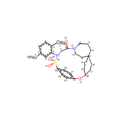 CCCCCCc1ccc(OC)c(N2CC(=O)N3CCCC4(CCC(CC4)Oc4ccc(cc4)S2(=O)=O)CC3)c1